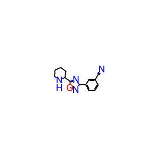 N#Cc1cccc(-c2noc(C3CCCCN3)n2)c1